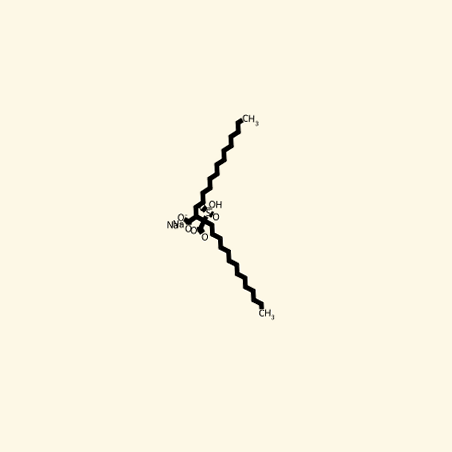 CCCCCCCCCCCCCCC(C(=O)[O-])C(CCCCCCCCCCCCCC)(C(=O)[O-])S(=O)(=O)O.[Na+].[Na+]